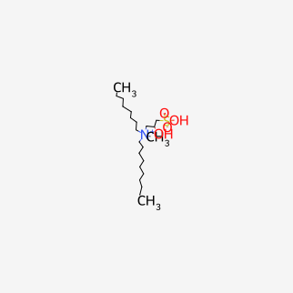 CCCCCCCCCC[N+](C)(CCCCCCCC)CC(O)CS(=O)(=O)O